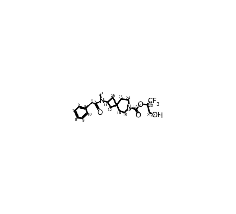 CN(C(=O)Cc1ccccc1)C1CC2(CCN(C(=O)OC(CO)C(F)(F)F)CC2)C1